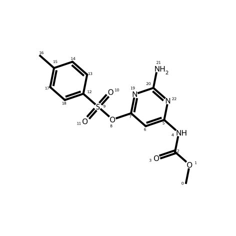 COC(=O)Nc1cc(OS(=O)(=O)c2ccc(C)cc2)nc(N)n1